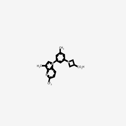 Cc1cc(N2CC(C(=O)O)C2)cc(-n2cc(C)c3nc(C(F)(F)F)ccc32)c1